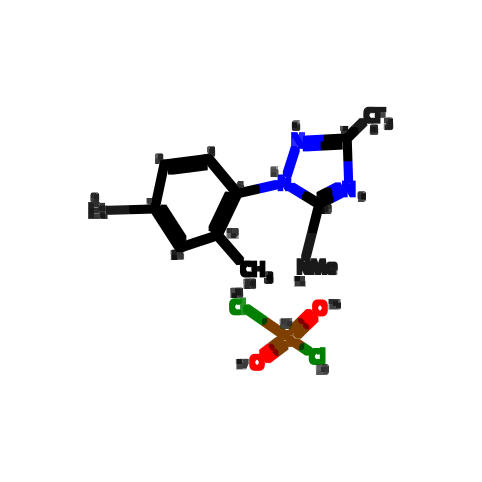 CCc1ccc(-n2nc(C(F)(F)F)nc2NC)c(C)c1.O=S(=O)(Cl)Cl